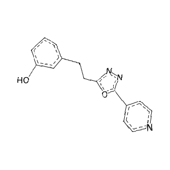 Oc1cccc(CCc2nnc(-c3ccncc3)o2)c1